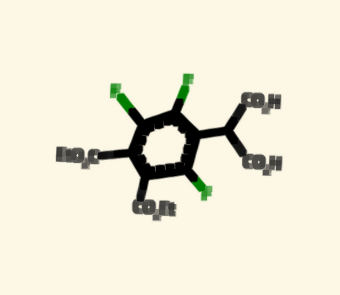 CCOC(=O)c1c(F)c(F)c(C(C(=O)O)C(=O)O)c(F)c1C(=O)OCC